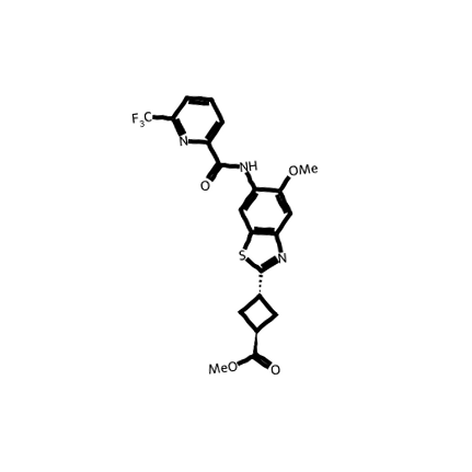 COc1cc2nc([C@H]3C[C@H](C(=O)OC)C3)sc2cc1NC(=O)c1cccc(C(F)(F)F)n1